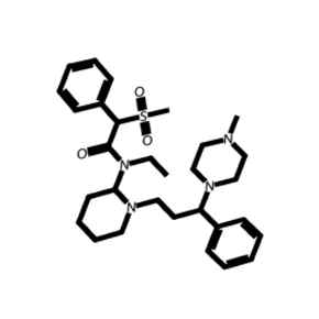 CCN(C(=O)C(c1ccccc1)S(C)(=O)=O)C1CCCCN1CCC(c1ccccc1)N1CCN(C)CC1